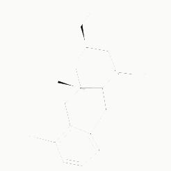 CCCN1C[C@H](CO)O[C@H]2Cc3c(O)cccc3C[C@@H]21